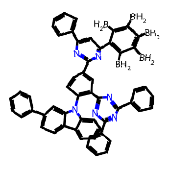 Bc1c(B)c(B)c(-c2cc(-c3ccccc3)nc(-c3ccc(-n4c5ccccc5c5ccc(-c6ccccc6)cc54)c(-c4nc(-c5ccccc5)nc(-c5ccccc5)n4)c3)n2)c(B)c1B